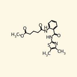 COC(=O)CCCC(=O)Nc1ccccc1C(=O)Nc1nc(C)c(C)s1